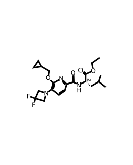 CCOC(=O)[C@H](CC(C)C)NC(=O)c1ccc(N2CC(F)(F)C2)c(OCC2CC2)n1